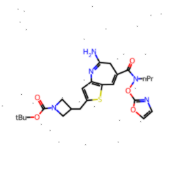 CCCN(Oc1ncco1)C(=O)C1=Cc2sc(CC3CN(C(=O)OC(C)(C)C)C3)cc2N=C(N)C1